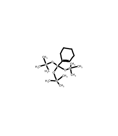 C[Si](C)(C)O[Si](O[Si](C)(C)C)(O[Si](C)(C)C)C1=CCCCC1